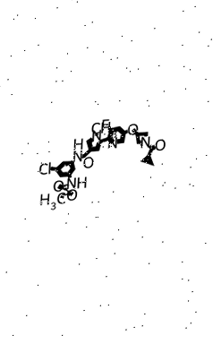 Cn1cc(C(=O)Nc2cc(Cl)cc(NS(C)(=O)=O)c2)cc1-c1ncc(OC2CN(C(=O)C3CC3)C2)cc1F